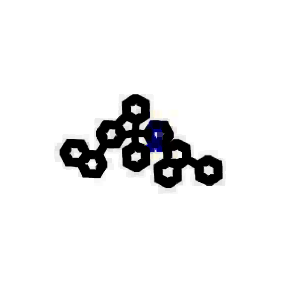 c1ccc(-c2ccc(Nc3ccccc3C3(c4ccccc4)c4ccccc4-c4ccc(-c5cccc6ccccc56)cc43)c3ccccc23)cc1